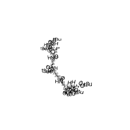 CC(C)(C)OC(=O)CC[C@H](NC(=O)N[C@@H](CCCCNC(=O)CCCCCCC(=O)N[C@H](CCCCNC(=O)c1ccc(CN(C(=N)NC(=O)OC(C)(C)C)C(=O)OC(C)(C)C)c(I)c1)C(=O)OC(C)(C)C)C(=O)OC(C)(C)C)C(=O)OC(C)(C)C